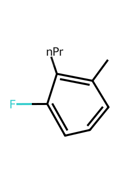 CCCc1c(C)cccc1F